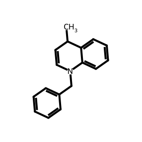 CC1C=CN(Cc2ccccc2)c2ccccc21